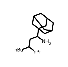 CCCCC(CCC)CC(N)C12CC3CC(CC(C3)C1)C2